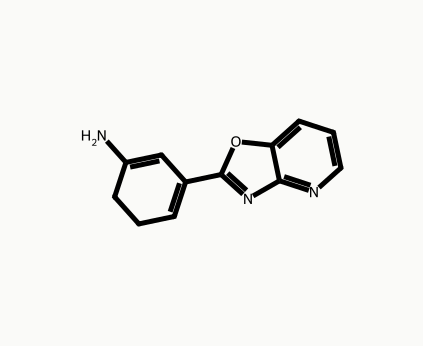 NC1=CC(c2nc3ncccc3o2)=CCC1